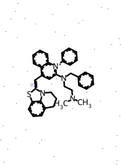 CN(C)CCN(Cc1ccccc1)c1cc(/C=C2/Sc3cccc4c3N2CCC4)c2ccccc2[n+]1-c1ccccc1